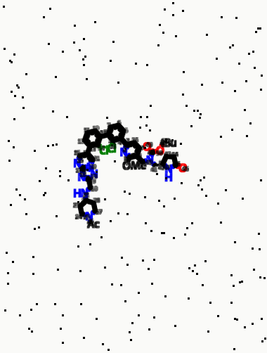 COc1nc(-c2cccc(-c3cccc(-c4cnc5nc(CNC6CCN(C(C)=O)CC6)nn5c4)c3Cl)c2Cl)ccc1CN(C[C@@H]1CCC(=O)N1)C(=O)OC(C)(C)C